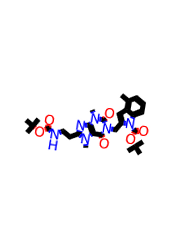 Cc1cccc2c1cc(Cn1c(=O)c3c(nc(CCNC(=O)OC(C)(C)C)n3C)n(C)c1=O)n2C(=O)OC(C)(C)C